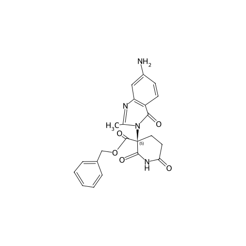 Cc1nc2cc(N)ccc2c(=O)n1[C@@]1(C(=O)OCc2ccccc2)CCC(=O)NC1=O